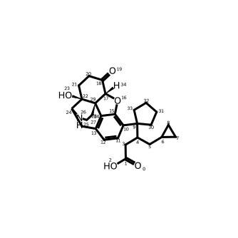 O=C(O)CC(CC1CC1)C1(c2ccc3c4c2O[C@H]2C(=O)CC[C@@]5(O)C(C3)NCC[C@]425)CCCC1